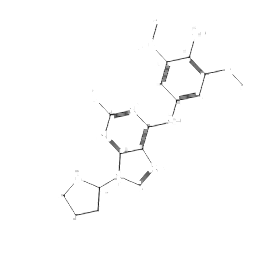 COc1cc(Nc2nc(S)nc3c2ncn3C2CCCO2)cc(OC)c1O